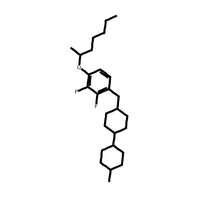 CCCCCC(C)Oc1ccc(CC2CCC(C3CCC(C)CC3)CC2)c(F)c1F